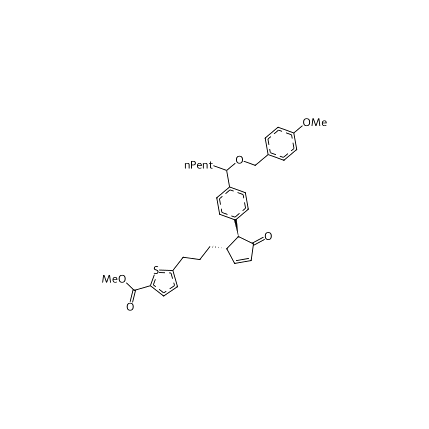 CCCCCC(OCc1ccc(OC)cc1)c1ccc([C@H]2C(=O)C=C[C@@H]2CCCc2ccc(C(=O)OC)s2)cc1